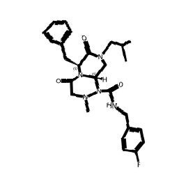 CC(C)CN1C[C@H]2N(C(=O)CN(C)N2C(=O)NCc2ccc(F)cc2)[C@@H](Cc2ccccc2)C1=O